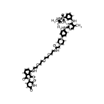 Cc1cnc(Nc2ccc(N3CCN(CC(=O)NCCOCCOCCOCCNc4cccc5c4C(=O)N(C4CCC(=O)NC4=O)C5=O)CC3)cc2)nc1Nc1cccc(S(=O)(=O)NC(C)(C)C)c1